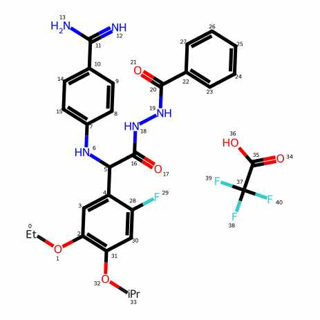 CCOc1cc(C(Nc2ccc(C(=N)N)cc2)C(=O)NNC(=O)c2ccccc2)c(F)cc1OC(C)C.O=C(O)C(F)(F)F